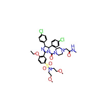 CCOc1ccc(S(=O)(=O)N(CCOC)CCOC)cc1C1=NC(c2ccc(Cl)cc2)C(c2ccc(Cl)cc2)N1C(=O)N1CCN(CC(=O)NC)CC1